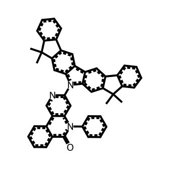 CC1(C)c2ccccc2-c2cc3c4cc5c(cc4n(-c4cc6c(cn4)c4ccccc4c(=O)n6-c4ccccc4)c3cc21)C(C)(C)c1ccccc1-5